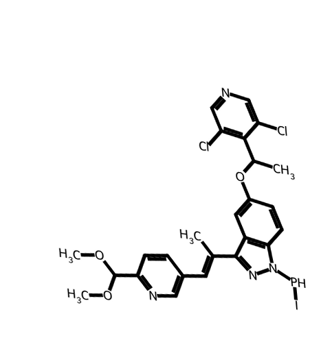 COC(OC)c1ccc(/C=C(\C)c2nn(PI)c3ccc(OC(C)c4c(Cl)cncc4Cl)cc23)cn1